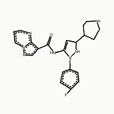 O=C(NC1=CC(C2CCNCC2)NN1c1ccc(F)cc1)c1cnn2cccnc12